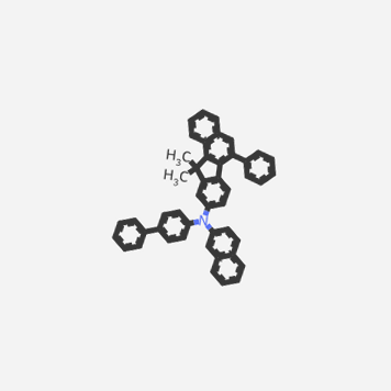 CC1(C)c2cc(N(c3ccc(-c4ccccc4)cc3)c3ccc4ccccc4c3)ccc2-c2c(-c3ccccc3)cc3ccccc3c21